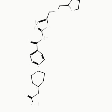 O=C(O)C[C@H]1CC[C@H](c2ccc(C(=O)Nc3nnc(COCC4CCCO4)s3)cc2)CC1